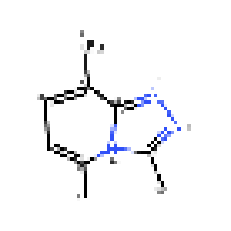 Cc1ccc(C(C)(C)C)c2nnc(C)n12